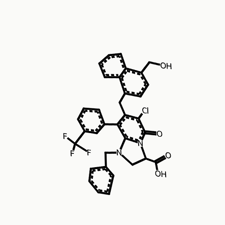 O=C(O)C1CN(Cc2ccccc2)c2c(-c3cccc(C(F)(F)F)c3)c(Cc3ccc(CO)c4ccccc34)c(Cl)c(=O)n21